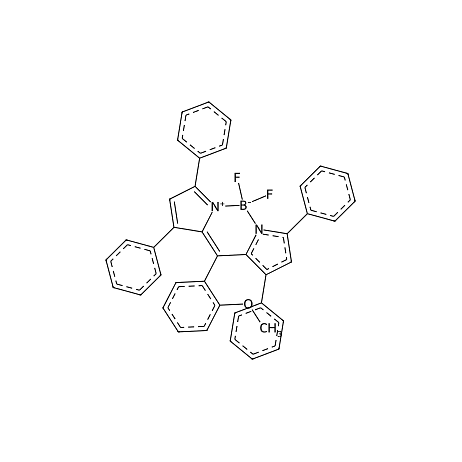 COc1ccccc1C1=C2C(c3ccccc3)=CC(c3ccccc3)=[N+]2[B-](F)(F)n2c(-c3ccccc3)cc(-c3ccccc3)c21